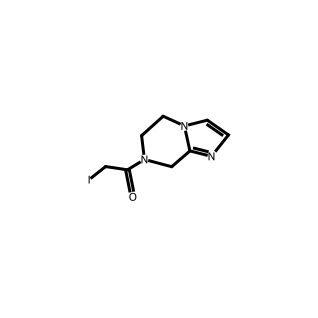 O=C(CI)N1CCn2ccnc2C1